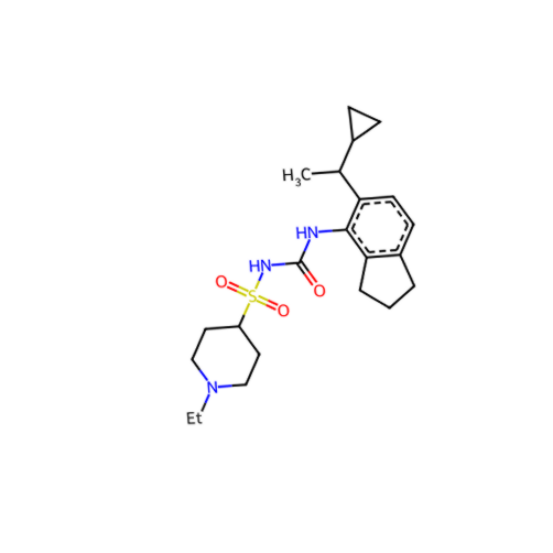 CCN1CCC(S(=O)(=O)NC(=O)Nc2c(C(C)C3CC3)ccc3c2CCC3)CC1